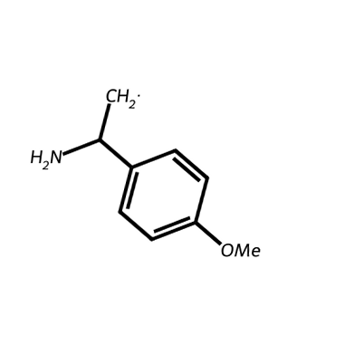 [CH2]C(N)c1ccc(OC)cc1